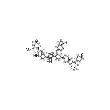 COCC(CN1CCP(C)(=O)CC1)Nc1ccc(S(=O)(=O)NC(=O)c2ccc(N3CCN(CC4=C(c5ccc(Cl)cc5)CC(C)(C)CC4)CC3)cc2Sc2cnc3[nH]ccc3c2)cc1[N+](=O)[O-]